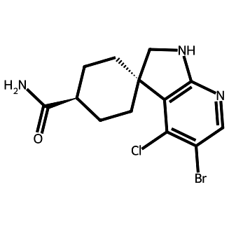 NC(=O)[C@H]1CC[C@]2(CC1)CNc1ncc(Br)c(Cl)c12